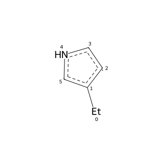 CCc1[c]c[nH]c1